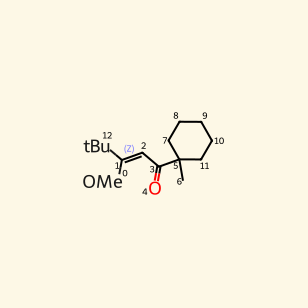 CO/C(=C\C(=O)C1(C)CCCCC1)C(C)(C)C